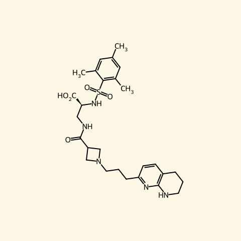 Cc1cc(C)c(S(=O)(=O)N[C@@H](CNC(=O)C2CN(CCCc3ccc4c(n3)NCCC4)C2)C(=O)O)c(C)c1